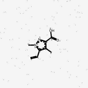 C=Cc1c(C)c(C(=O)O)nn1C